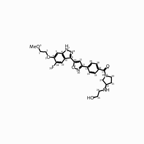 COCCOc1cc2[nH]nc(-c3cc(-c4ccc(C(=O)N5CCC(NCCO)C5)cc4)no3)c2cc1F